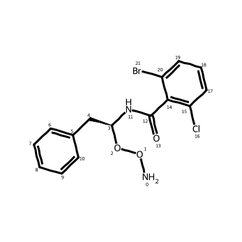 NOO[C@@H](Cc1ccccc1)NC(=O)c1c(Cl)cccc1Br